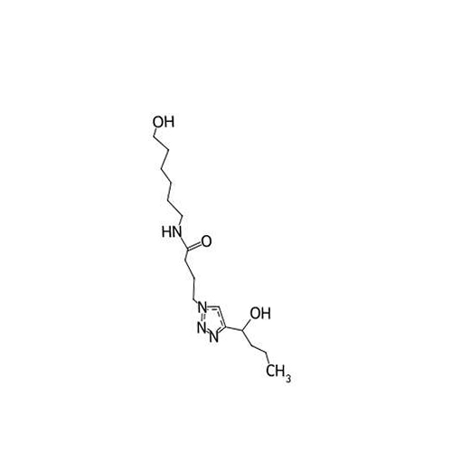 CCCC(O)c1cn(CCCC(=O)NCCCCCCO)nn1